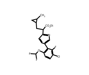 CCOC(=O)C(CC1CC1C)c1ccc(-c2c(OC(F)F)ccc(Cl)c2F)cn1